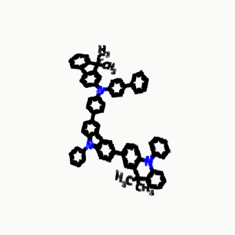 CC1(C)c2ccccc2-c2ccc(N(c3ccc(-c4ccccc4)cc3)c3ccc(-c4ccc5c(c4)c4cc(-c6ccc7c(c6)C(C)(C)c6ccccc6N7c6ccccc6)ccc4n5-c4ccccc4)cc3)cc21